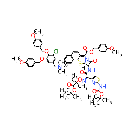 COc1ccc(COC(=O)C2=C(/C=C\c3ccc(C[N+](C)(C)Cc4cc(Cl)c(OCc5ccc(OC)cc5)c(OCc5ccc(OC)cc5)c4)cc3)CS[C@@H]3[C@H](NC(=O)/C(=N\OC(C)(C)C(=O)OC(C)(C)C)c4csc(NC(=O)OC(C)(C)C)n4)C(=O)N23)cc1